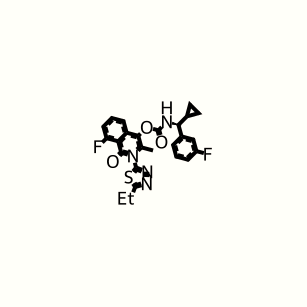 CCc1nnc(-n2c(C)c(OC(=O)N[C@H](c3cccc(F)c3)C3CC3)c3cccc(F)c3c2=O)s1